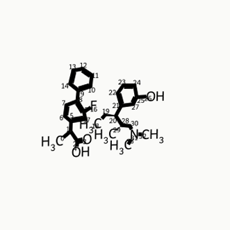 CC(C(=O)O)c1ccc(-c2ccccc2)c(F)c1.CC[C@@H](c1cccc(O)c1)[C@@H](C)CN(C)C